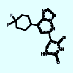 O=c1[nH]cc(-c2cc(C3CCC(F)(F)CC3)c3nccn3n2)c(=O)[nH]1